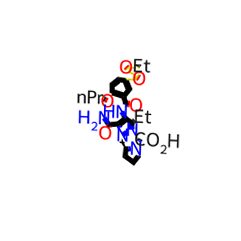 CCCOc1ccc(S(=O)(=O)CC)cc1C(=O)Nc1c(CC)nn(C[C@@H]2CCCN2C(=O)O)c1C(N)=O